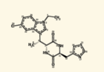 CCn1cc([C@@H](C)[C@H]2NC(=O)[C@H](Cc3cscn3)NC2=O)c2cc(Cl)ccc21